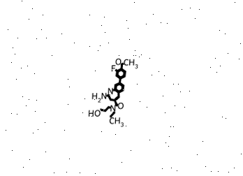 CCCN(CCCO)C(=O)C1=Cc2ccc(-c3ccc(C(C)=O)c(F)c3)cc2N=C(N)C1